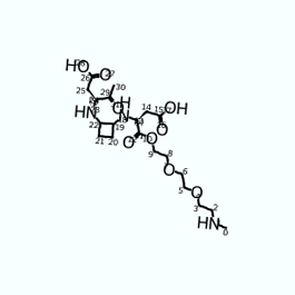 CNCCOCCOCCOC(=O)[C@H](CC(=O)O)NC1CCC1N[C@@H](CC(=O)O)C(C)=O